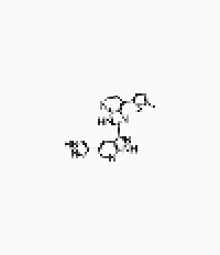 Cc1ccc(-c2ccnc3[nH]c(-c4n[nH]c5ncc(-c6cn[nH]c6)cc45)nc23)s1